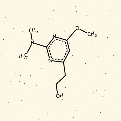 COc1cc(CCO)nc(N(C)C)n1